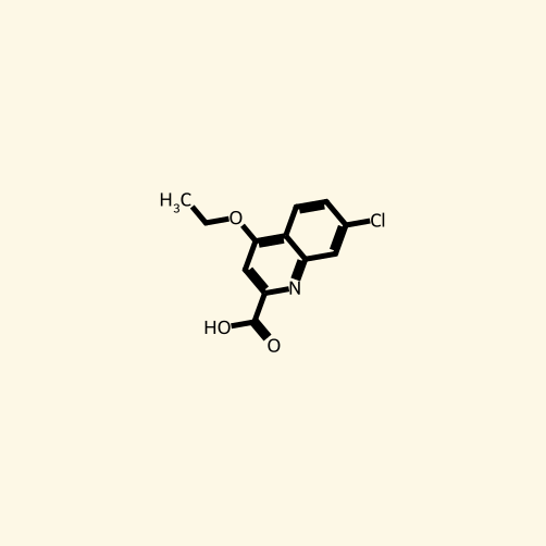 CCOc1cc(C(=O)O)nc2cc(Cl)ccc12